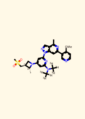 [2H]C([2H])([2H])N(c1cc(N2C[C@H](CS(C)(=O)=O)[C@H]2C)cc(-n2ncc3c(C)nc(-c4cnccc4OC)cc32)n1)C([2H])([2H])[2H]